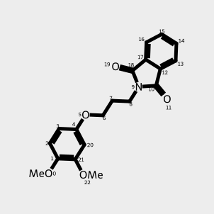 COc1ccc(OCCCN2C(=O)c3ccccc3C2=O)cc1OC